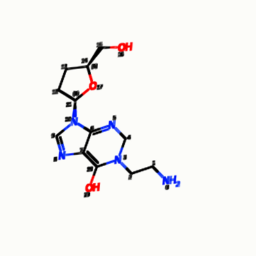 NCCN1CN=c2c(ncn2[C@H]2CC[C@@H](CO)O2)=C1O